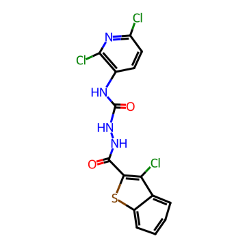 O=C(NNC(=O)c1sc2ccccc2c1Cl)Nc1ccc(Cl)nc1Cl